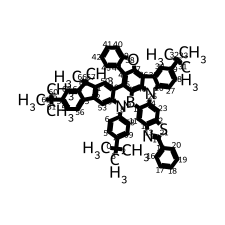 CC(C)(C)c1ccc(N2B3c4cc5nc(-c6ccccc6)sc5cc4-n4c5ccc(C(C)(C)C)cc5c5c6oc7ccccc7c6c(c3c54)-c3cc4c(cc32)-c2ccc(C(C)(C)C)cc2C4(C)C)cc1